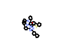 c1ccc(-n2c3ccccc3c3cccc(-n4c5ccccc5c5cccc(-c6nc(-c7ccc8ccccc8c7)nc(-c7cccc8c7sc7ccccc78)n6)c54)c32)cc1